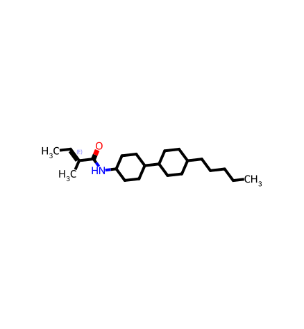 C/C=C(\C)C(=O)NC1CCC(C2CCC(CCCCC)CC2)CC1